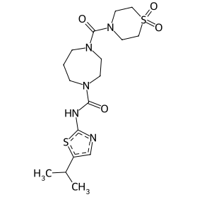 CC(C)c1cnc(NC(=O)N2CCCN(C(=O)N3CCS(=O)(=O)CC3)CC2)s1